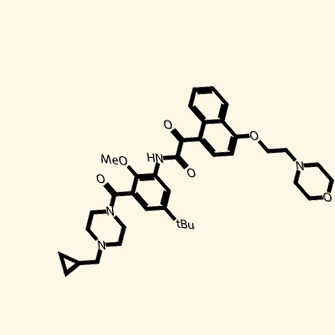 COc1c(NC(=O)C(=O)c2ccc(OCCN3CCOCC3)c3ccccc23)cc(C(C)(C)C)cc1C(=O)N1CCN(CC2CC2)CC1